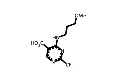 COCCCNc1nc(C(F)(F)F)ncc1C(=O)O